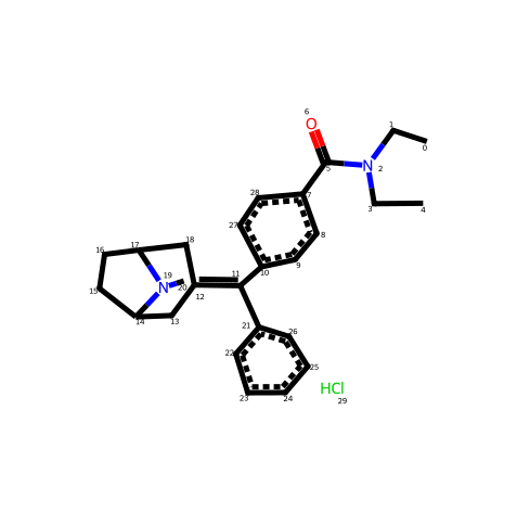 CCN(CC)C(=O)c1ccc(C(=C2CC3CCC(C2)N3C)c2ccccc2)cc1.Cl